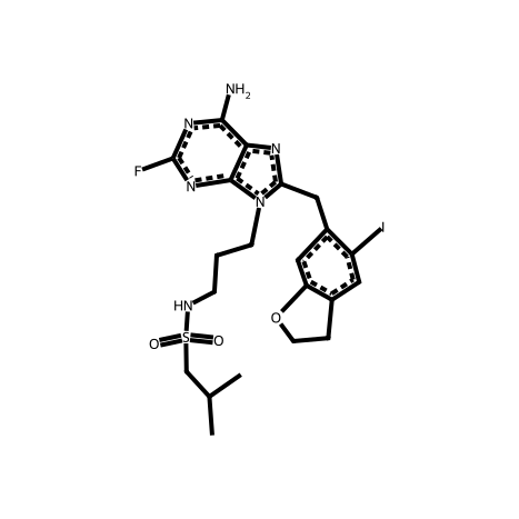 CC(C)CS(=O)(=O)NCCCn1c(Cc2cc3c(cc2I)CCO3)nc2c(N)nc(F)nc21